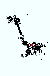 CC[C@H](C(=O)N1CCCC[C@H]1C(=O)O[C@H](CCc1ccc(OC)c(OC)c1)c1ccc(OCC(=O)NCCCCCCCC(=O)Nc2cccc3c2CN(C2CCC(=O)NC2=O)C3=O)cc1)c1cc(OC)c(OC)c(OC)c1